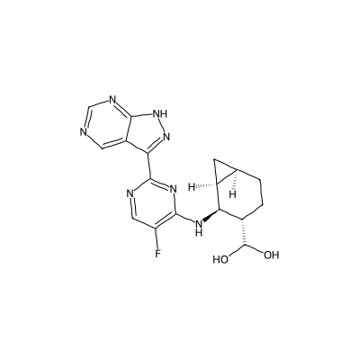 OC(O)[C@H]1CC[C@@H]2C[C@@H]2[C@@H]1Nc1nc(-c2n[nH]c3ncncc23)ncc1F